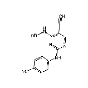 C#Cc1cnc(Nc2ccc(C#N)cc2)nc1NCCC